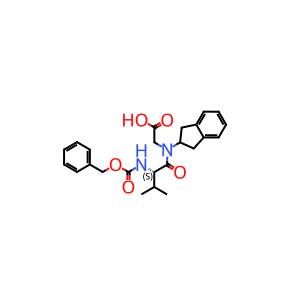 CC(C)[C@H](NC(=O)OCc1ccccc1)C(=O)N(CC(=O)O)C1Cc2ccccc2C1